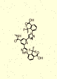 CNC(=O)c1cc(-c2cn(-c3cccc(C(=O)O)c3C(F)(F)F)nn2)nc(-c2cn(-c3cccc(C(=O)O)c3C(F)(F)F)nn2)c1